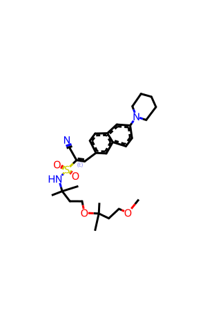 COCCC(C)(C)OCCC(C)(C)NS(=O)(=O)/C(C#N)=C/c1ccc2cc(N3CCCCC3)ccc2c1